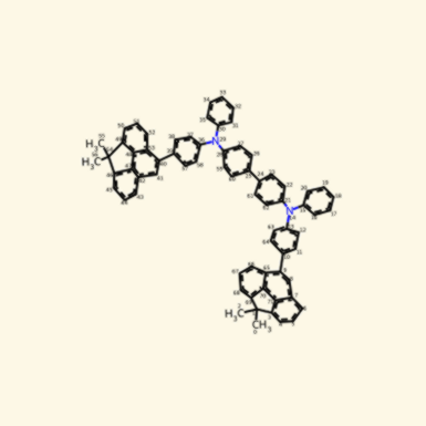 CC1(C)c2cccc3cc(-c4ccc(N(c5ccccc5)c5ccc(-c6ccc(N(c7ccccc7)c7ccc(-c8cc9cccc%10c9c9c(cccc89)C%10(C)C)cc7)cc6)cc5)cc4)c4cccc1c4c23